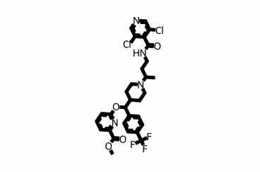 COC(=O)c1cccc(OC(c2ccc(C(F)(F)F)cc2)C2CCN(C(C)CCNC(=O)c3c(Cl)cncc3Cl)CC2)n1